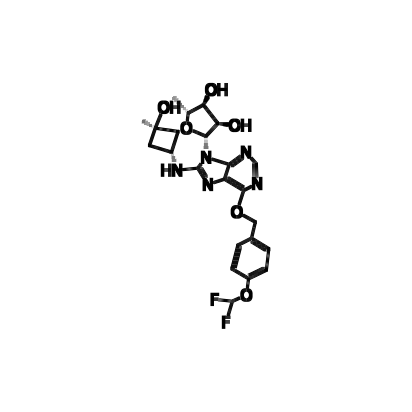 C[C@H]1O[C@@H](n2c(N[C@H]3C[C@](C)(O)C3)nc3c(OCc4ccc(OC(F)F)cc4)ncnc32)[C@H](O)[C@@H]1O